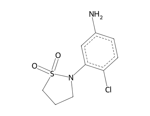 Nc1ccc(Cl)c(N2CCCS2(=O)=O)c1